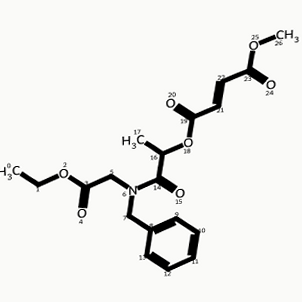 CCOC(=O)CN(Cc1ccccc1)C(=O)C(C)OC(=O)C=CC(=O)OC